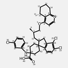 C[C@@H](COc1ccnc2c1[C@H](C)CCC2)CC1Cc2c(ccc(Cl)c2Cl)C12CCC(Nc1cccc(Cl)c1)(C(=O)O)CC2